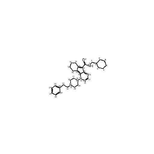 O=C(NCC1CCCCC1)c1c2ncnn(N3CCN(CCc4ccccc4)CC3)c-2c2c1CCCC2